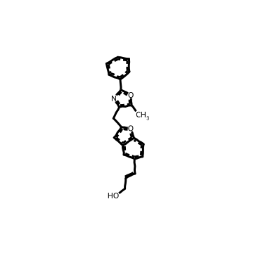 Cc1oc(-c2ccccc2)nc1Cc1cc2cc(C=CCO)ccc2o1